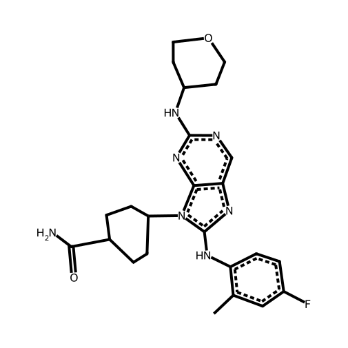 Cc1cc(F)ccc1Nc1nc2cnc(NC3CCOCC3)nc2n1C1CCC(C(N)=O)CC1